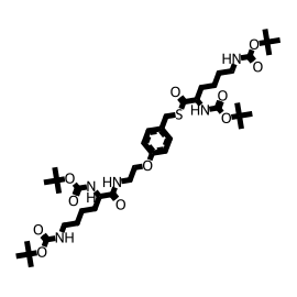 CC(C)(C)OC(=O)NCCCCC(NC(=O)OC(C)(C)C)C(=O)NCCOc1ccc(CSC(=O)C(CCCCNC(=O)OC(C)(C)C)NC(=O)OC(C)(C)C)cc1